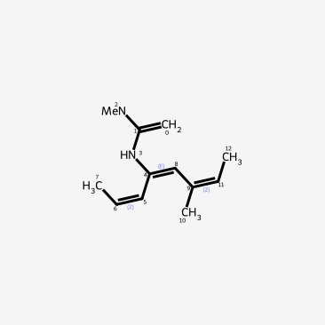 C=C(NC)NC(/C=C\C)=C/C(C)=C\C